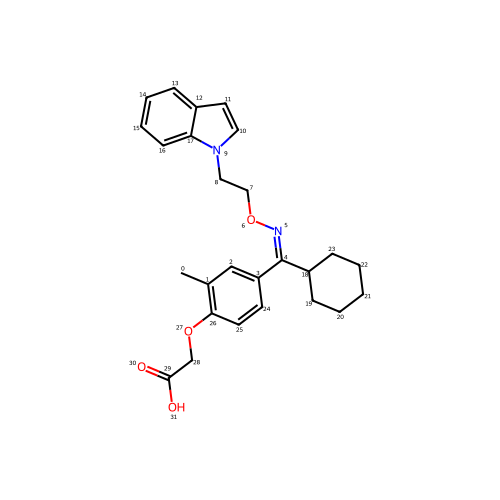 Cc1cc(/C(=N\OCCn2ccc3ccccc32)C2CCCCC2)ccc1OCC(=O)O